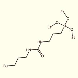 CCO[Si](CCCNC(=O)NCCCC(C)CC)(OCC)OCC